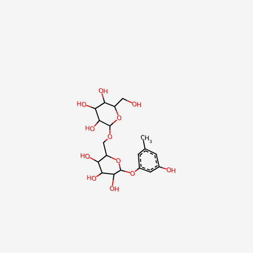 Cc1cc(O)cc(OC2OC(COC3OC(CO)C(O)C(O)C3O)C(O)C(O)C2O)c1